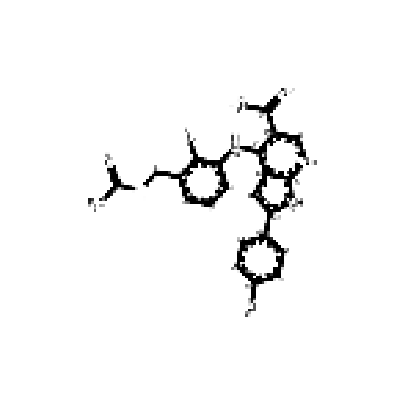 CCc1c(COC(=O)C(F)(F)F)cccc1Nc1c(C(N)=O)cnc2[nH]c(-c3ccc(Cl)cc3)cc12